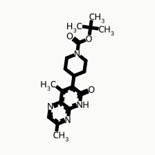 Cc1cnc2c(C)c(C3CCN(C(=O)OC(C)(C)C)CC3)c(=O)[nH]c2n1